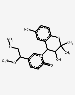 CC1(C)Oc2ccc(C#N)cc2C(n2cc(C(CO[N+](=O)[O-])O[N+](=O)[O-])ccc2=O)C1O